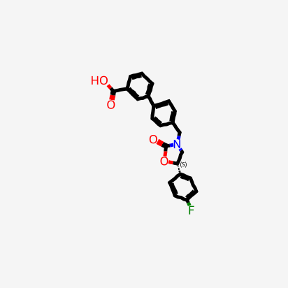 O=C(O)c1cccc(-c2ccc(CN3C[C@H](c4ccc(F)cc4)OC3=O)cc2)c1